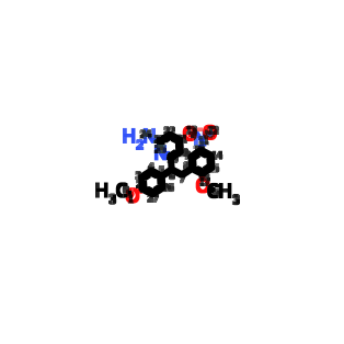 COc1ccc(C(Cc2cc([N+](=O)[O-])ccc2OC)c2cccc(N)n2)cc1